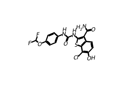 NC(=O)c1c(NC(=O)Nc2ccc(OC(F)F)cc2)sc2c(Cl)c(O)ccc12